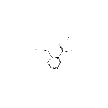 CON=C(C#N)c1ccccc1CN